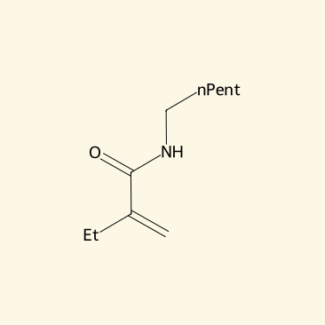 C=C(CC)C(=O)NCCCCCC